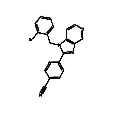 N#Cc1ccc(-c2nc3cnccc3n2Cc2ccccc2Br)cc1